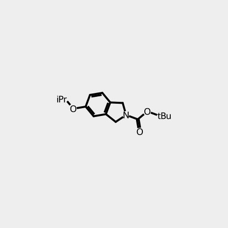 CC(C)Oc1ccc2c(c1)CN(C(=O)OC(C)(C)C)C2